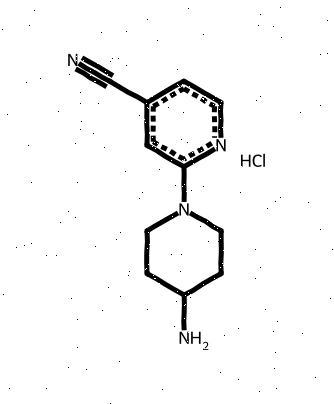 Cl.N#Cc1ccnc(N2CCC(N)CC2)c1